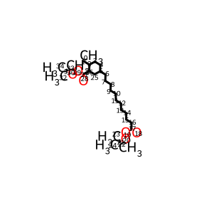 CCC1CCC(CCCCCCCCCCCC(=O)OOC(C)(C)C)CC1C(=O)OOC(C)(C)C